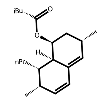 CCC[C@@H]1[C@@H]2C(=C[C@@H](C)C[C@@H]2OC(=O)[C@@H](C)CC)C=C[C@@H]1C